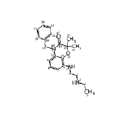 CCNCCNc1cccc2c1OC(C)(C)C(=O)N2Cc1ccccc1